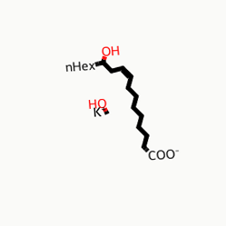 CCCCCCC(O)C/C=C\CCCCCCCC(=O)[O-].CO.[K+]